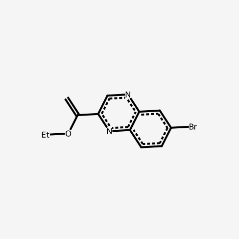 C=C(OCC)c1cnc2cc(Br)ccc2n1